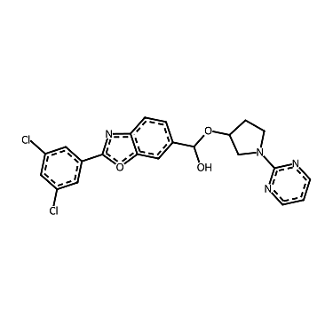 OC(OC1CCN(c2ncccn2)C1)c1ccc2nc(-c3cc(Cl)cc(Cl)c3)oc2c1